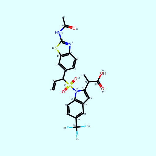 C=CC(c1ccc2nc(NC(C)=O)sc2c1)S(=O)(=O)n1c(C(C)C(=O)O)cc2cc(C(F)(F)F)ccc21